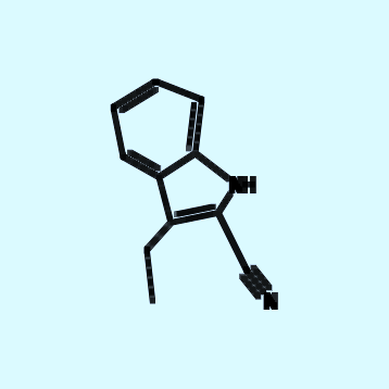 CCc1c(C#N)[nH]c2ccccc12